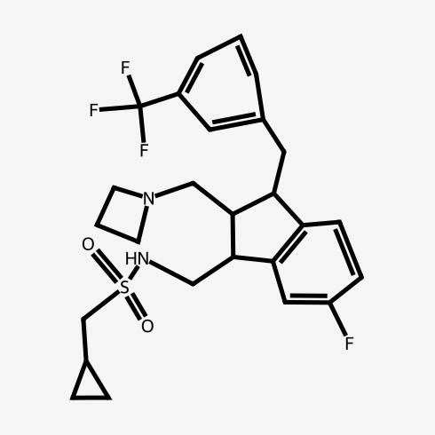 O=S(=O)(CC1CC1)NCC1c2cc(F)ccc2C(Cc2cccc(C(F)(F)F)c2)C1CN1CCC1